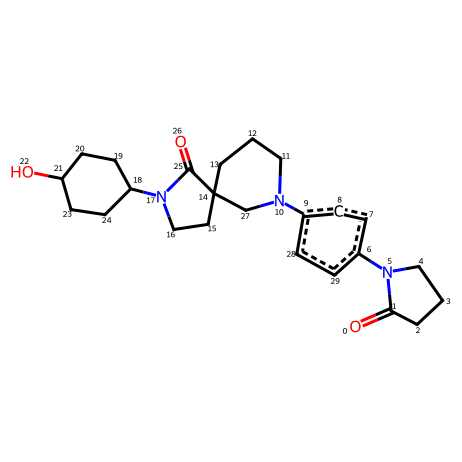 O=C1CCCN1c1ccc(N2CCCC3(CCN(C4CCC(O)CC4)C3=O)C2)cc1